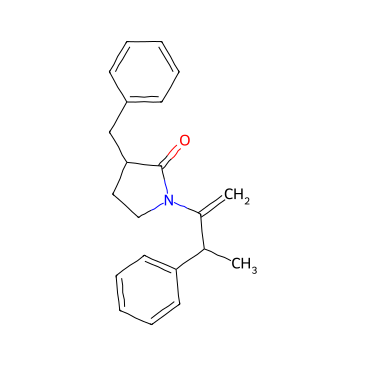 C=C(C(C)c1ccccc1)N1CCC(Cc2ccccc2)C1=O